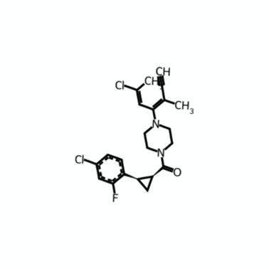 C#C/C(C)=C(\C=C(/C)Cl)N1CCN(C(=O)[C@H]2C[C@H]2c2ccc(Cl)cc2F)CC1